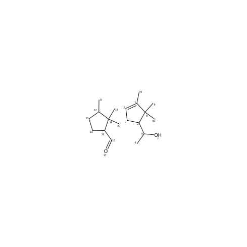 CC1=CCC(C(C)O)C1(C)C.CC1CCC(C=O)C1(C)C